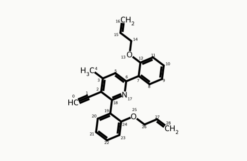 C#Cc1c(C)cc(-c2ccccc2OCC=C)nc1-c1ccccc1OCC=C